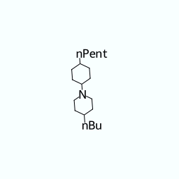 CCCCCC1CCC(N2CCC(CCCC)CC2)CC1